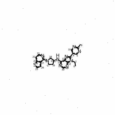 CCn1c(-c2cnc(C)nc2)nc2c(N[C@H]3CCN(c4nccc5sccc45)C3)ncnc21